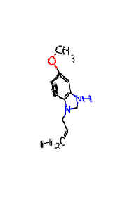 C=CCN1CNc2cc(OC)ccc21